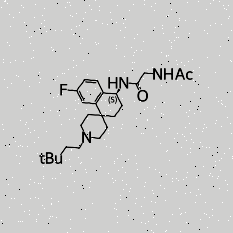 CC(=O)NCC(=O)N[C@H]1CCC2(CCN(CCC(C)(C)C)CC2)c2cc(F)ccc21